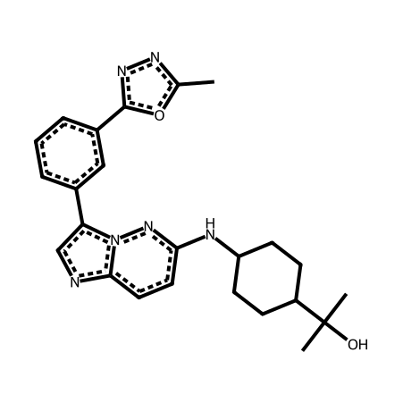 Cc1nnc(-c2cccc(-c3cnc4ccc(NC5CCC(C(C)(C)O)CC5)nn34)c2)o1